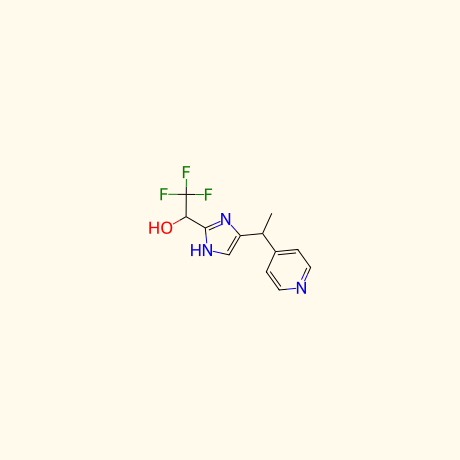 CC(c1ccncc1)c1c[nH]c(C(O)C(F)(F)F)n1